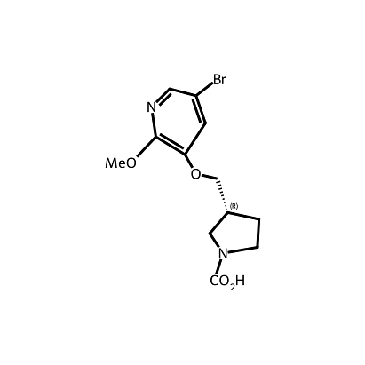 COc1ncc(Br)cc1OC[C@@H]1CCN(C(=O)O)C1